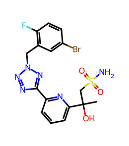 CC(O)(CS(N)(=O)=O)c1cccc(-c2nnn(Cc3cc(Br)ccc3F)n2)n1